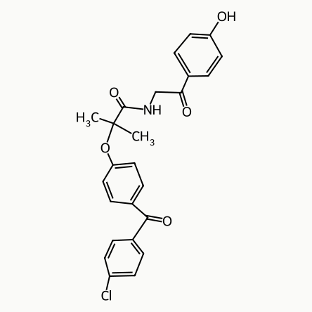 CC(C)(Oc1ccc(C(=O)c2ccc(Cl)cc2)cc1)C(=O)NCC(=O)c1ccc(O)cc1